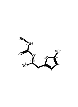 CC(C)(C)NC(=O)O[C@H](C#N)Cc1ccc(Br)s1